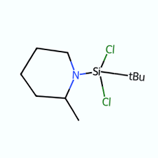 CC1CCCCN1[Si](Cl)(Cl)C(C)(C)C